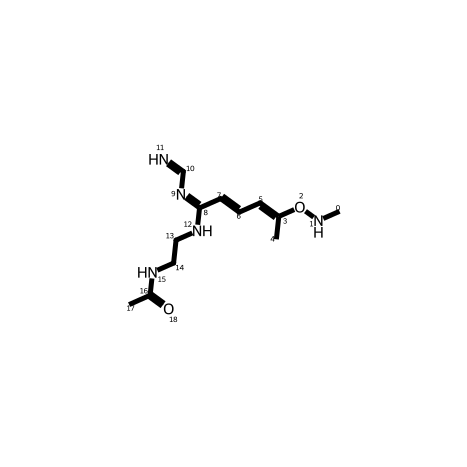 CNO/C(C)=C/C=C/C(=N\C=N)NCCNC(C)=O